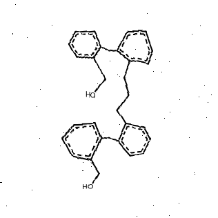 OCc1ccccc1-c1ccccc1CCCc1ccccc1-c1ccccc1CO